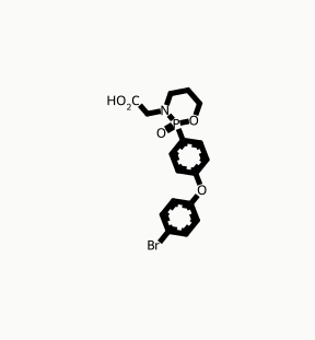 O=C(O)CN1CCCOP1(=O)c1ccc(Oc2ccc(Br)cc2)cc1